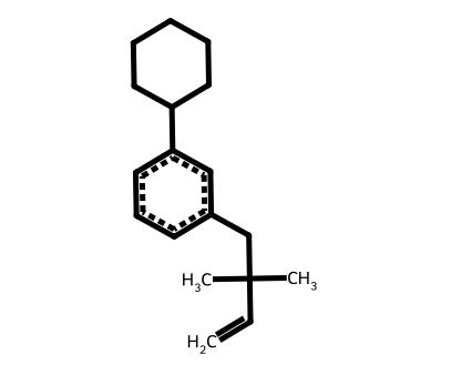 C=CC(C)(C)Cc1cccc(C2CCCCC2)c1